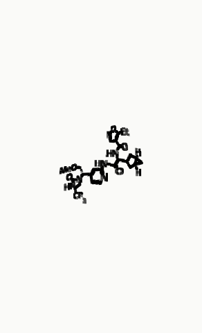 CCc1oncc1C(=O)N[C@H](C(=O)Nc1cc([C@@H](COC)N2C[C@@H](C(F)(F)F)NC2=O)ccn1)C1C[C@@H]2C[C@@H]2C1